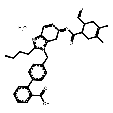 CCCCc1nc2c(n1Cc1ccc(-c3ccccc3C(=O)O)cc1)CC(=NC(=O)C1CC(C)=C(C)CC1C=O)C=C2.O